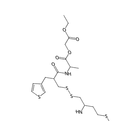 CCOC(=O)COC(=O)C(C)NC(=O)C(CSSCC([NH])CCSC)Cc1ccsc1